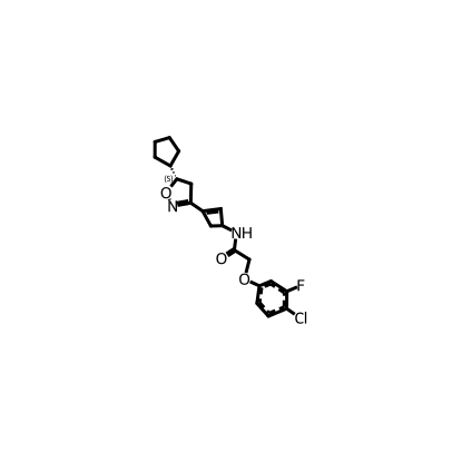 O=C(COc1ccc(Cl)c(F)c1)NC1C=C(C2=NO[C@H](C3CCCC3)C2)C1